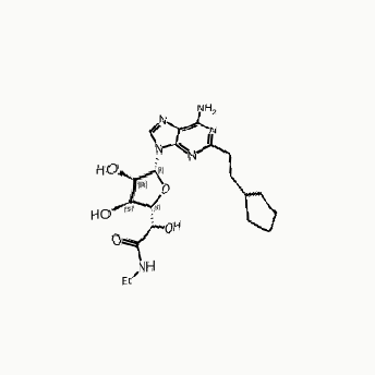 CCNC(=O)C(O)[C@H]1O[C@@H](n2cnc3c(N)nc(CCC4CCCC4)nc32)[C@H](O)[C@@H]1O